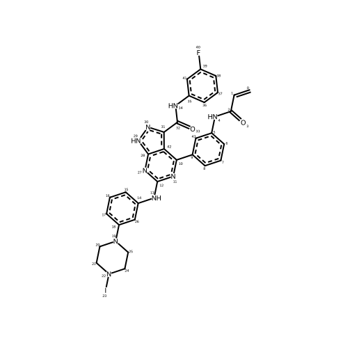 C=CC(=O)Nc1cccc(-c2nc(Nc3cccc(N4CCN(I)CC4)c3)nc3[nH]nc(C(=O)Nc4cccc(F)c4)c23)c1